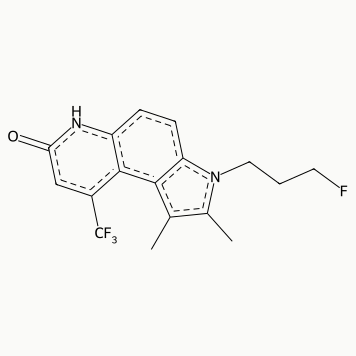 Cc1c(C)n(CCCF)c2ccc3[nH]c(=O)cc(C(F)(F)F)c3c12